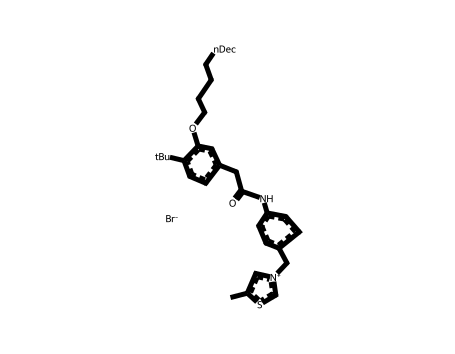 CCCCCCCCCCCCCCOc1cc(CC(=O)Nc2ccc(C[n+]3csc(C)c3)cc2)ccc1C(C)(C)C.[Br-]